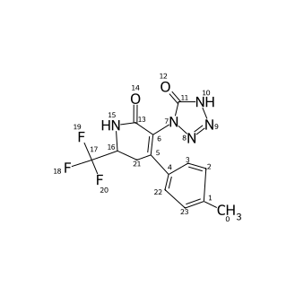 Cc1ccc(C2=C(n3nn[nH]c3=O)C(=O)NC(C(F)(F)F)C2)cc1